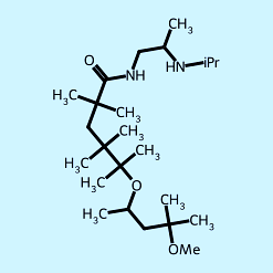 COC(C)(C)CC(C)OC(C)(C)C(C)(C)CC(C)(C)C(=O)NCC(C)NC(C)C